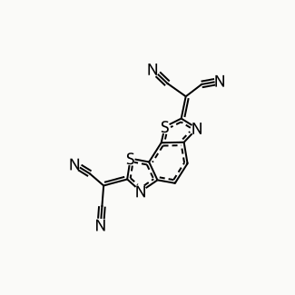 N#CC(C#N)=c1nc2ccc3nc(=C(C#N)C#N)sc3c2s1